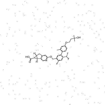 Cc1cc(OCCC(C)(C)O)ccc1-c1cc(COc2cc3c(cn2)[C@@H]2C(C(=O)O)[C@@H]2C3)c(F)cc1C(F)F